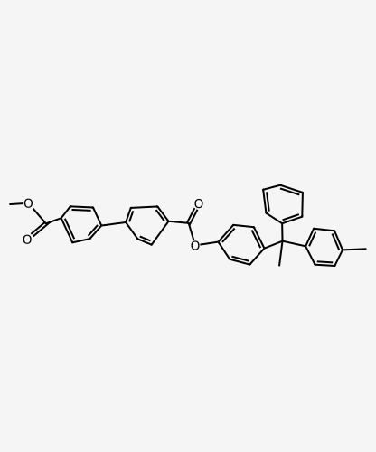 COC(=O)c1ccc(-c2ccc(C(=O)Oc3ccc(C(C)(c4ccccc4)c4ccc(C)cc4)cc3)cc2)cc1